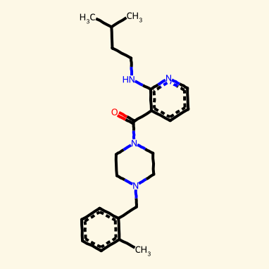 Cc1ccccc1CN1CCN(C(=O)c2cccnc2NCCC(C)C)CC1